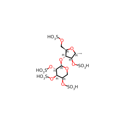 C[C@H]1O[C@H](COS(=O)(=O)O)[C@@H](O[C@H]2OC[C@@H](OS(=O)(=O)O)[C@@H](OS(=O)(=O)O)[C@@H]2OS(=O)(=O)O)[C@@H]1OS(=O)(=O)O